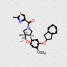 COc1ccc([C@@H]2CN(C(=O)c3csc(C)n3)C[C@@]2(C)[C@@H](C)O)cc1OC1Cc2ccccc2C1